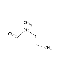 CCC[N+](C)C=O